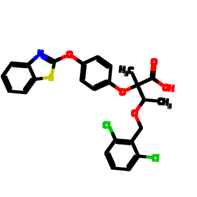 CC(OCc1c(Cl)cccc1Cl)C(C)(Oc1ccc(Oc2nc3ccccc3s2)cc1)C(=O)O